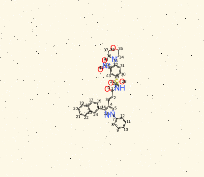 O=C(/C=C/c1cn(-c2ccccc2)nc1-c1ccc2ccccc2c1)NS(=O)(=O)c1ccc(N2CCOCC2)c([N+](=O)[O-])c1